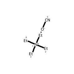 CC[N+](CC)(CC)CC.N#C[O-]